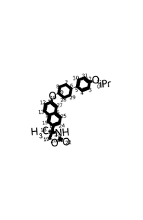 CC(C)Oc1ccc([C@H]2CC[C@@H](Oc3ccc4cc([C@]5(C)COC(=O)N5)ccc4c3)CC2)cc1